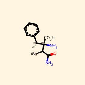 C[C@H](c1ccccc1)[C@@](N)(C(=O)O)C(C(N)=O)C(C)(C)C